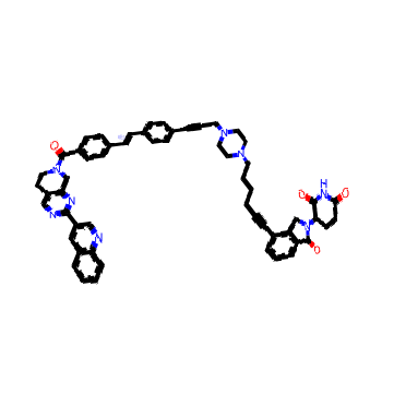 O=C1CCC(N2Cc3c(C#CCCCCN4CCN(CC#Cc5ccc(/C=C/c6ccc(C(=O)N7CCc8cnc(-c9cnc%10ccccc%10c9)nc8C7)cc6)cc5)CC4)cccc3C2=O)C(=O)N1